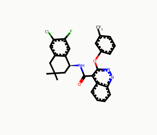 CC1(C)Cc2cc(Cl)c(F)cc2[C@@H](NC(=O)c2c(Oc3cccc(C(F)(F)F)c3)nnc3ccccc23)C1